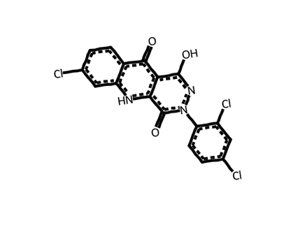 O=c1c2ccc(Cl)cc2[nH]c2c(=O)n(-c3ccc(Cl)cc3Cl)nc(O)c12